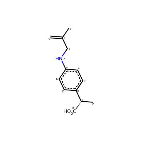 C=C(C)CNc1ccc([C@H](C)C(=O)O)cc1